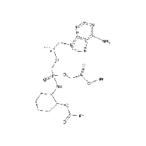 CC(C)OC(=O)COP(=O)(CO[C@H](C)Cn1cnc2c(N)ncnc21)NC1CCCCC1OC(=O)C(C)C